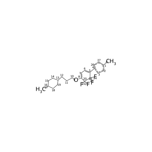 Cc1ccc(C2=CC=C(OCCCC3CCC(C)CC3)C(F)(F)C2(F)F)cc1